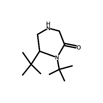 CC(C)(C)C1CNCC(=O)N1C(C)(C)C